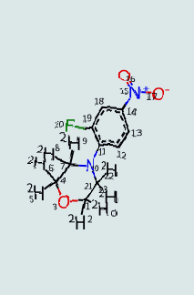 [2H]C1([2H])OC([2H])([2H])C([2H])([2H])N(c2ccc([N+](=O)[O-])cc2F)C1([2H])[2H]